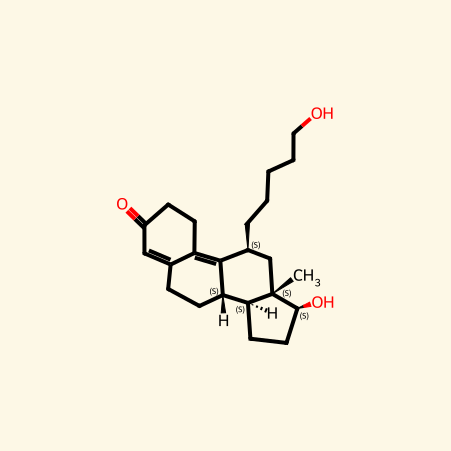 C[C@]12C[C@H](CCCCCO)C3=C4CCC(=O)C=C4CC[C@H]3[C@@H]1CC[C@@H]2O